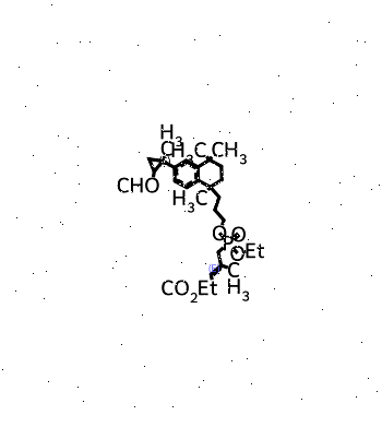 CCOC(=O)/C=C(\C)CP(=O)(OCC)OCCCC1(C)CCC(C)(C)c2cc([C@@]3(C)CC3C=O)ccc21